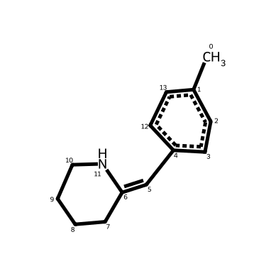 Cc1ccc(/C=C2/CCCCN2)cc1